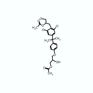 CC(=O)OCC(O)COc1ccc(C(C)(C)c2cc(Cl)c(CC(CCl)OC(C)=O)c(Cl)c2)cc1